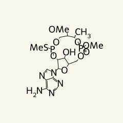 COC1COP(SC)OC2C(O)C(COP(=O)(OC)O[C@@H]1C)OC2n1cnc2c(N)ncnc21